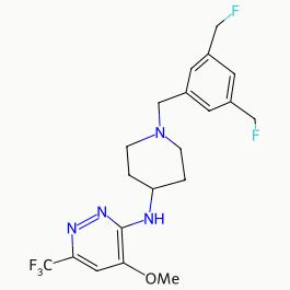 COc1cc(C(F)(F)F)nnc1NC1CCN(Cc2cc(CF)cc(CF)c2)CC1